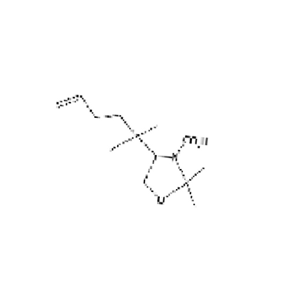 C=CCCC(C)(C)C1COC(C)(C)N1C(=O)O